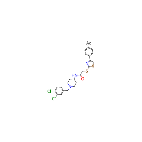 CC(=O)c1ccc(-c2csc(SCC(=O)NC3CCN(Cc4ccc(Cl)c(Cl)c4)CC3)n2)cc1